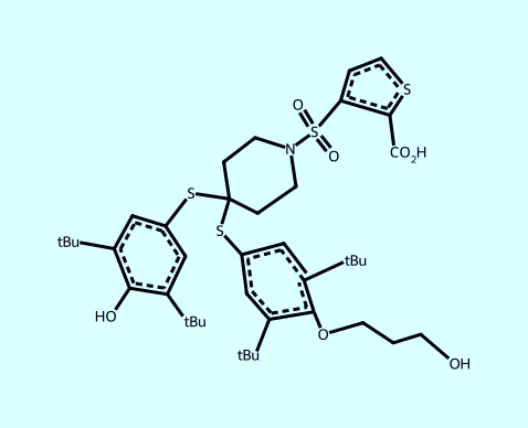 CC(C)(C)c1cc(SC2(Sc3cc(C(C)(C)C)c(OCCCO)c(C(C)(C)C)c3)CCN(S(=O)(=O)c3ccsc3C(=O)O)CC2)cc(C(C)(C)C)c1O